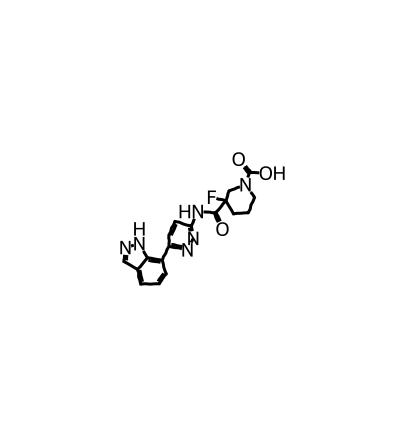 O=C(O)N1CCCC(F)(C(=O)Nc2ccc(-c3cccc4cn[nH]c34)nn2)C1